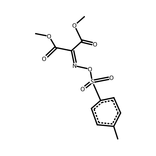 COC(=O)C(=NOS(=O)(=O)c1ccc(C)cc1)C(=O)OC